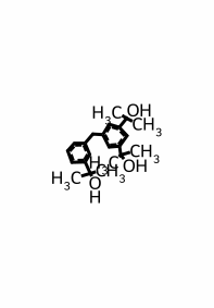 CC(C)(O)c1cccc(Cc2cc(C(C)(C)O)cc(C(C)(C)O)c2)c1